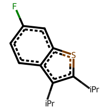 CC(C)c1sc2cc(F)ccc2c1C(C)C